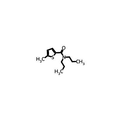 CCCN(CCC)C(=O)c1ccc(C)s1